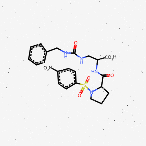 O=C(NCc1ccccc1)NCC(NC(=O)C1CCCN1S(=O)(=O)c1ccc([N+](=O)[O-])cc1)C(=O)O